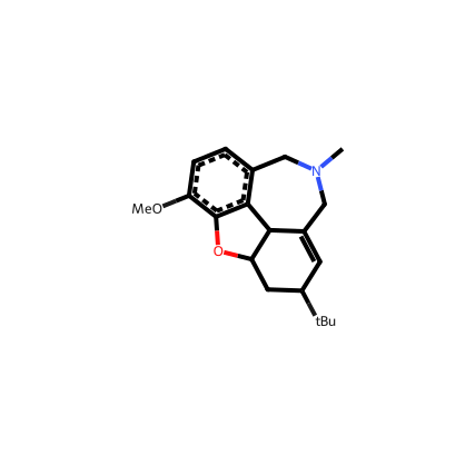 COc1ccc2c3c1OC1CC(C(C)(C)C)C=C(CN(C)C2)C31